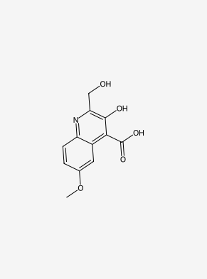 COc1ccc2nc(CO)c(O)c(C(=O)O)c2c1